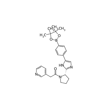 CC1(C)OB(c2ccc(-c3cnc([C@@H]4CCCN4C(=O)Cc4cccnc4)[nH]3)cc2)OC1(C)C